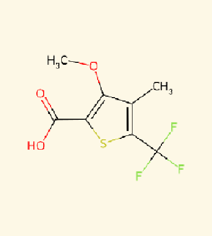 COc1c(C(=O)O)sc(C(F)(F)F)c1C